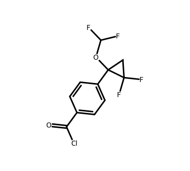 O=C(Cl)c1ccc(C2(OC(F)F)CC2(F)F)cc1